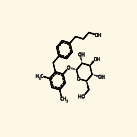 Cc1cc(C)c(Cc2ccc(CCCO)cc2)c(O[C@H]2O[C@H](CO)[C@@H](O)[C@H](O)[C@H]2O)c1